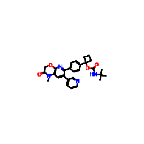 CN1C(=O)COc2nc(-c3ccc(C4(OC(=O)NC(C)(C)C)CCC4)cc3)c(-c3cccnc3)cc21